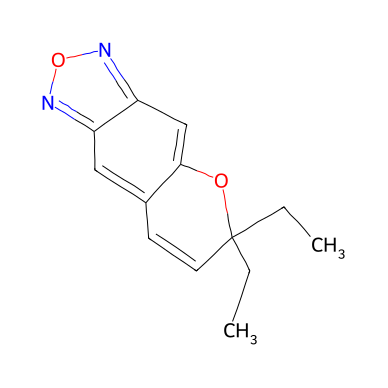 CCC1(CC)C=Cc2cc3nonc3cc2O1